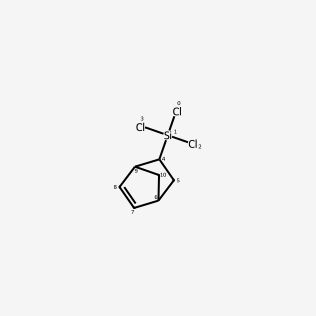 Cl[Si](Cl)(Cl)C1CC2C=CC1C2